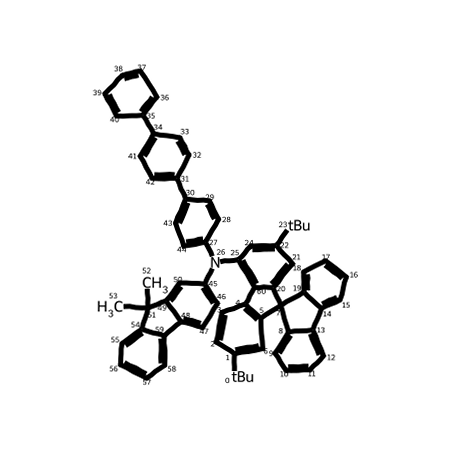 CC(C)(C)c1ccc2c(c1)C1(c3ccccc3-c3ccccc31)c1cc(C(C)(C)C)cc(N(c3ccc(-c4ccc(-c5ccccc5)cc4)cc3)c3ccc4c(c3)C(C)(C)c3ccccc3-4)c1-2